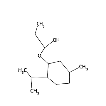 CCC(O)OC1CC(C)CCC1C(C)C